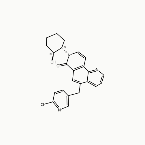 O=c1c2cc(Cc3ccc(Cl)nc3)c3cccnc3c2ccn1[C@H]1CCCC[C@@H]1O